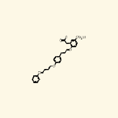 CCOC(=O)c1ccc(OCCCc2ccc(OCCCCOc3ccccc3)cc2)c(CC(=O)Cl)c1